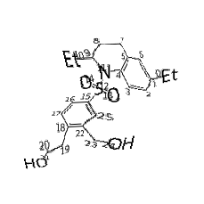 CCc1ccc2c(c1)CCC(CC)N2S(=O)(=O)c1ccc(CCO)c(CO)c1